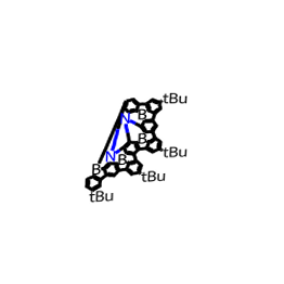 CC(C)(C)c1ccc2c(c1)-c1cc3c4c5c1B2c1cc2c6c7c1N5c1c5c(c8c9c1N7c1c7c(cc%10c1B9c1c-%10cc(C(C)(C)C)cc1-8)-c1cc(C(C)(C)C)cc-2c1B76)-c1cc(C(C)(C)C)cc-3c1B45